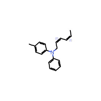 C/C=C\C=C/CN(c1ccccc1)c1ccc(C)cc1